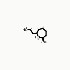 N=C1CCCCC(CCO)N1